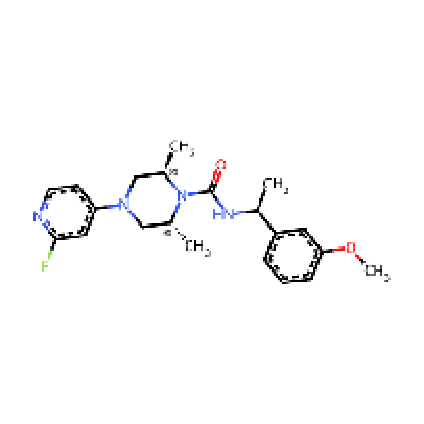 COc1cccc(C(C)NC(=O)N2[C@H](C)CN(c3ccnc(F)c3)C[C@H]2C)c1